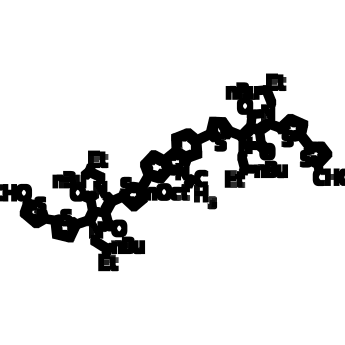 CCCCCCCCC(C)n1c2cc(-c3ccc(C4=C5C(=O)N(CC(CC)CCCC)C(c6ccc(-c7ccc(C=O)s7)s6)=C5C(=O)N4CC(CC)CCCC)s3)ccc2c2ccc(-c3ccc(C4=C5C(=O)N(CC(CC)CCCC)C(c6ccc(-c7ccc(C=O)s7)s6)=C5C(=O)N4CC(CC)CCCC)s3)cc21